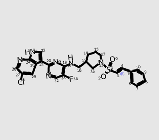 O=S(=O)(/C=C/c1ccccc1)N1CCCC(CNc2nc(-c3c[nH]c4ncc(Cl)cc34)ncc2F)C1